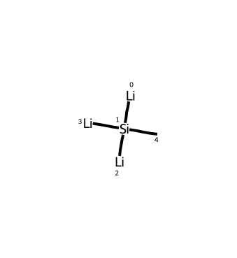 [Li][Si]([Li])([Li])C